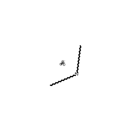 CCCCCCCCCCCCCCCCCC[P+](C)(C)CCCCCCCCCCCCCCCCCC.O=[N+]([O-])[O-]